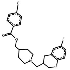 O=C(OCC1CCN(CC2CSc3ccc(F)cc3C2)CC1)c1ccc(F)cc1